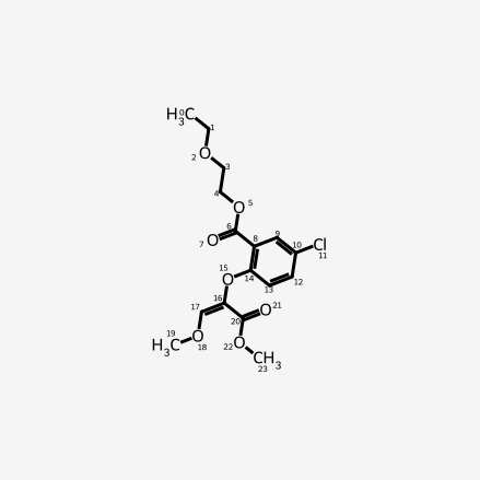 CCOCCOC(=O)c1cc(Cl)ccc1OC(=COC)C(=O)OC